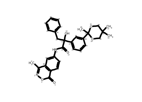 Cc1noc(=O)c2ccc(NC(=O)C(O)(Cc3ccccc3)c3cccc(C4(C)OCC(C)(C)CO4)c3)cc12